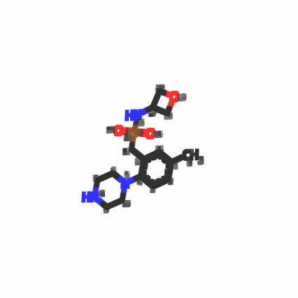 Cc1ccc(N2CCNCC2)c(CS(=O)(=O)NC2COC2)c1